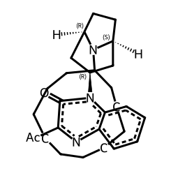 CC(=O)c1nc2ccccc2n([C@H]2C[C@H]3CC[C@@H](C2)N3C2CCCCCCCCCC2)c1=O